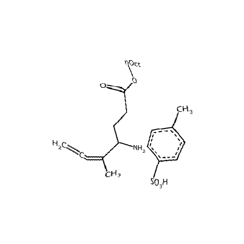 C=C=C(C)C(N)CCC(=O)OCCCCCCCC.Cc1ccc(S(=O)(=O)O)cc1